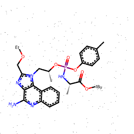 CCOCc1nc2c(N)nc3ccccc3c2n1C[C@@H](C)OP(=O)(N[C@@H](C)C(=O)OC(C)(C)C)Oc1ccc(C)cc1